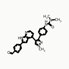 CN(C)C(=O)Nc1ccc(-c2nn(C)cc2-c2ccnc3[nH]c(-c4ccc(C=O)cc4)cc23)cc1